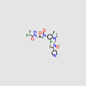 CCN(CCN(OC)C(=S)c1ccncc1)c1c(F)cc(N2C[C@H](CNC(=O)C(F)F)OC2=O)cc1F